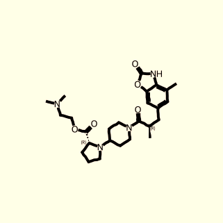 Cc1cc(C[C@@H](C)C(=O)N2CCC(N3CCC[C@@H]3C(=O)OCCN(C)C)CC2)cc2oc(=O)[nH]c12